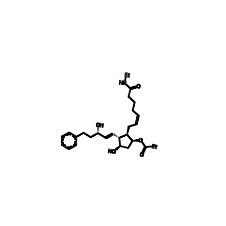 CCNC(=O)CCC/C=C\C[C@@H]1[C@@H](/C=C/[C@@H](O)CCc2ccccc2)[C@H](O)C[C@@H]1OC(=O)CC